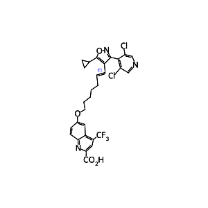 O=C(O)c1cc(C(F)(F)F)c2cc(OCCCCC/C=C/c3c(-c4c(Cl)cncc4Cl)noc3C3CC3)ccc2n1